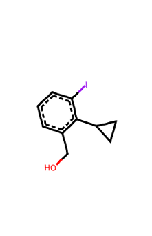 OCc1cccc(I)c1C1CC1